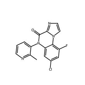 Cc1ncccc1-n1c(=O)c2nccn2c2c(F)cc(Cl)cc21